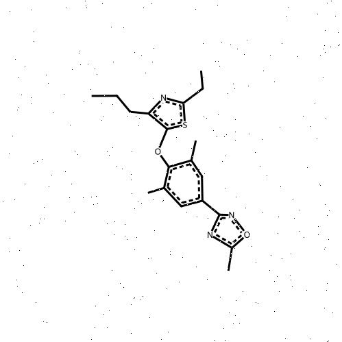 CCCc1nc(CC)sc1Oc1c(C)cc(-c2noc(C)n2)cc1C